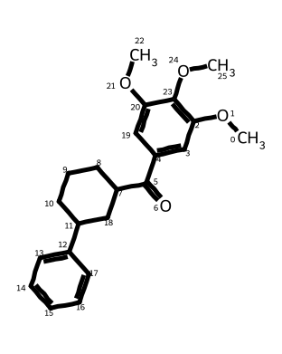 COc1cc(C(=O)C2CCCC(c3ccccc3)C2)cc(OC)c1OC